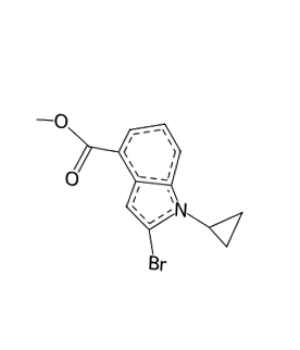 COC(=O)c1cccc2c1cc(Br)n2C1CC1